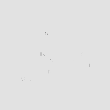 COc1ccc2c(NCCCN(C)C)nc(/C=C/c3ccc(Cl)c(Cl)c3)nc2c1C